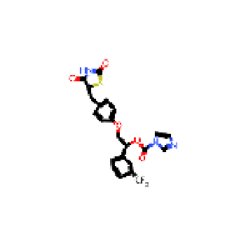 O=C1NC(=O)C(Cc2ccc(OCC(OC(=O)n3ccnc3)c3cccc(C(F)(F)F)c3)cc2)S1